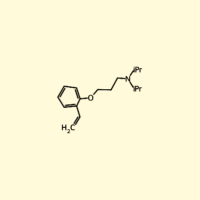 C=Cc1ccccc1OCCCN(C(C)C)C(C)C